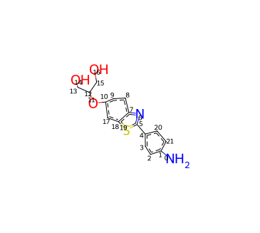 Nc1ccc(-c2nc3ccc(OC(CO)CO)cc3s2)cc1